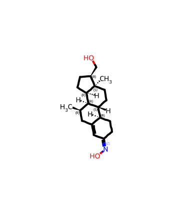 C[C@@H]1CC2=C/C(=N\O)CC[C@@H]2[C@H]2CC[C@]3(C)[C@H](CO)CC[C@@H]3[C@@H]21